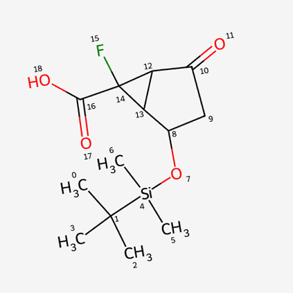 CC(C)(C)[Si](C)(C)OC1CC(=O)C2C1C2(F)C(=O)O